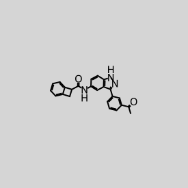 CC(=O)c1cccc(-c2n[nH]c3ccc(NC(=O)C4Cc5ccccc54)cc23)c1